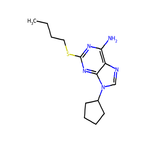 CCCCSc1nc(N)c2ncn(C3CCCC3)c2n1